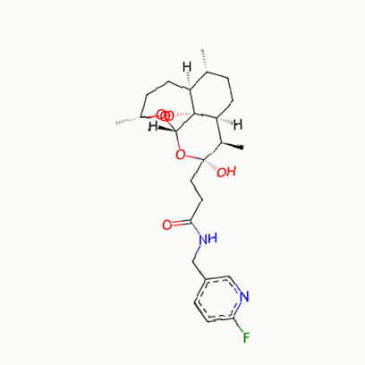 C[C@@H]1CC[C@H]2[C@@H](C)[C@@](O)(CCC(=O)NCc3ccc(F)nc3)O[C@@H]3O[C@]4(C)CC[C@@H]1[C@]32OO4